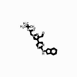 CC(C)(C)OC(=O)Cn1cc(-c2cnc(NC3Cc4ccccc4C3)nc2)c(C=O)n1